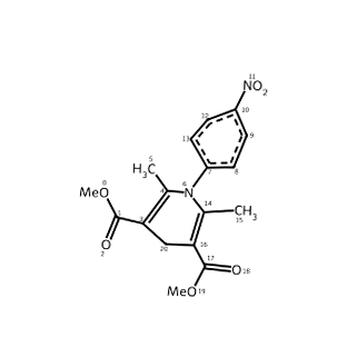 COC(=O)C1=C(C)N(c2ccc([N+](=O)[O-])cc2)C(C)=C(C(=O)OC)C1